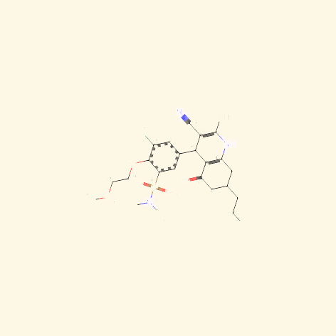 CCCC1CC(=O)C2=C(C1)NC(C)=C(C#N)C2c1cc(Br)c(OCCOC)c(S(=O)(=O)N(C)C)c1